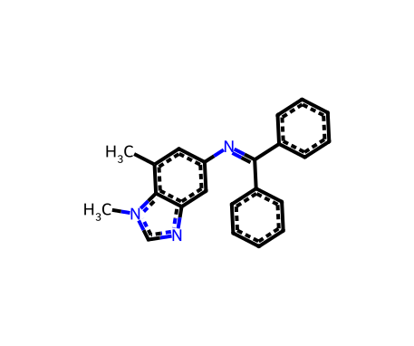 Cc1cc(N=C(c2ccccc2)c2ccccc2)cc2ncn(C)c12